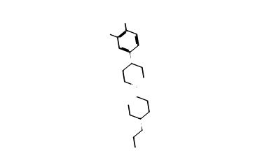 CCC[C@H]1CC[C@H]([Si@H]2CC[C@H](c3ccc(F)c(F)c3)CC2)CC1